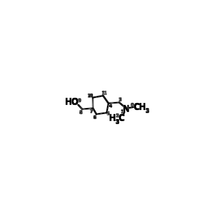 CN(C)CC1CCC(CO)CC1